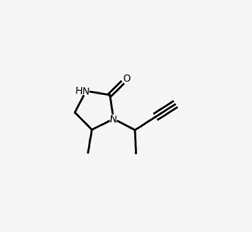 C#CC(C)N1C(=O)NCC1C